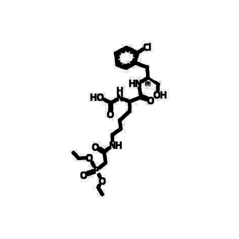 CCOP(=O)(CC(=O)NCCCCC(NC(=O)O)C(=O)N[C@H](CO)Cc1ccccc1Cl)OCC